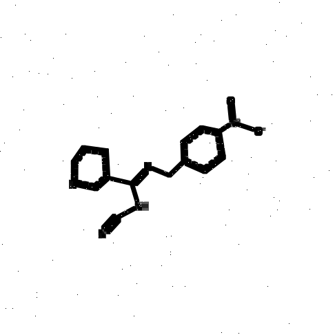 N#CN/C(=N\Cc1ccc([N+](=O)[O-])cc1)c1cccnc1